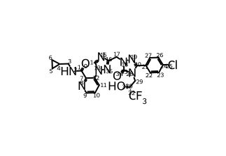 O=C(NCC1CC1)c1ncccc1-n1cnc(Cn2nc(-c3ccc(Cl)cc3)n(C[C@@H](O)C(F)(F)F)c2=O)n1